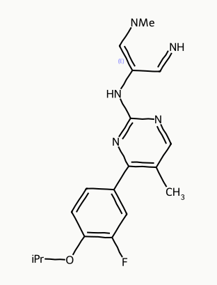 CN/C=C(\C=N)Nc1ncc(C)c(-c2ccc(OC(C)C)c(F)c2)n1